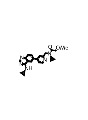 COCC(=O)N(Cc1cc(-c2ccc3ncnc(NC4CC4)c3c2)ccn1)C1CC1